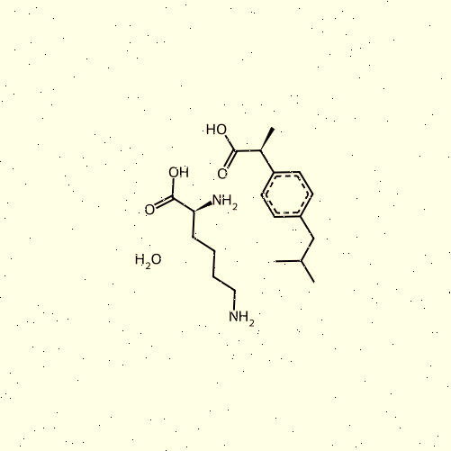 CC(C)Cc1ccc([C@H](C)C(=O)O)cc1.NCCCC[C@H](N)C(=O)O.O